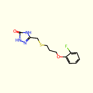 O=c1[nH]nc(CSCCCOc2ccccc2F)[nH]1